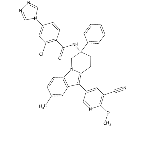 COc1ncc(-c2c3n(c4ccc(C)cc24)C[C@@](NC(=O)c2ccc(-n4cnnc4)cc2Cl)(c2ccccc2)CC3)cc1C#N